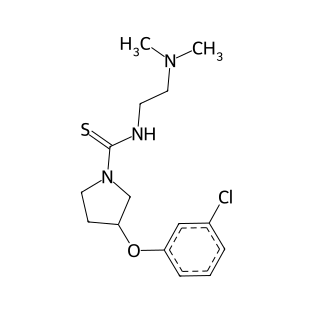 CN(C)CCNC(=S)N1CCC(Oc2cccc(Cl)c2)C1